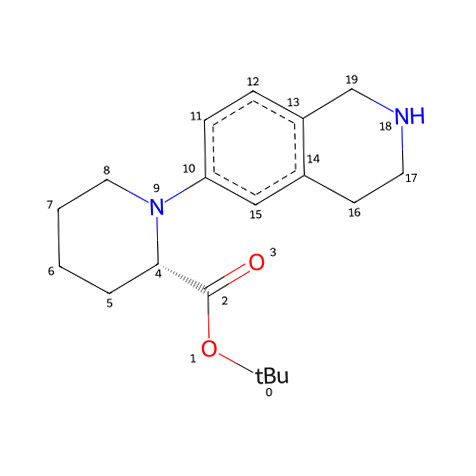 CC(C)(C)OC(=O)[C@@H]1CCCCN1c1ccc2c(c1)CCNC2